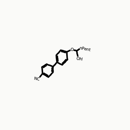 CCCCCC(O)Oc1ccc(-c2ccc(C#N)cc2)cc1